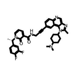 Cc1nc2cnc3ccc(C#CCNC(=O)c4cccn([C@@H](C)c5ccc(F)c(F)c5)c4=O)cc3c2n1C1CCC(N(C)C)CC1